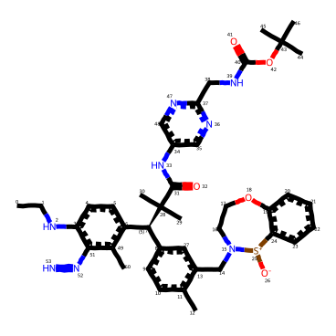 CCNc1ccc([C@H](c2ccc(C)c(CN3CCOc4ccccc4[S+]3[O-])c2)C(C)(C)C(=O)Nc2cnc(CNC(=O)OC(C)(C)C)nc2)c(C)c1N=N